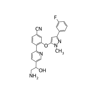 Cn1nc(-c2cccc(F)c2)cc1Oc1cc(C#N)ccc1-c1ccc(C(O)CN)cn1